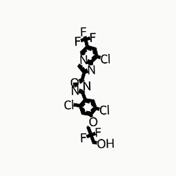 OCC(F)(F)COc1cc(Cl)c(-c2noc(-c3cn4cc(C(F)(F)F)cc(Cl)c4n3)n2)cc1Cl